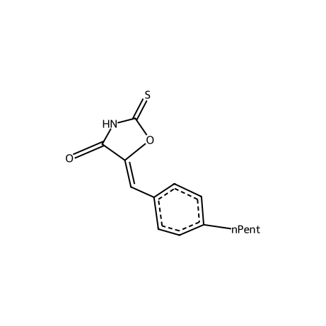 CCCCCc1ccc(/C=C2\OC(=S)NC2=O)cc1